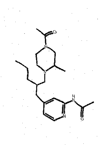 CCCC(Cc1ccnc(NC(C)=O)c1)CN1CCN(C(C)=O)CC1C